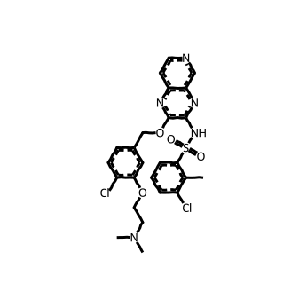 Cc1c(Cl)cccc1S(=O)(=O)Nc1nc2cnccc2nc1OCc1ccc(Cl)c(OCCN(C)C)c1